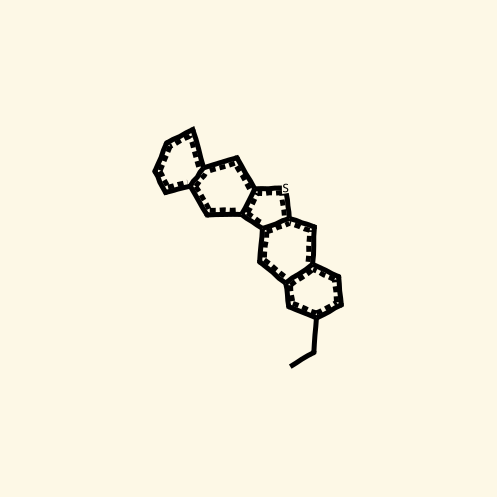 CCc1ccc2cc3sc4cc5ccccc5cc4c3cc2c1